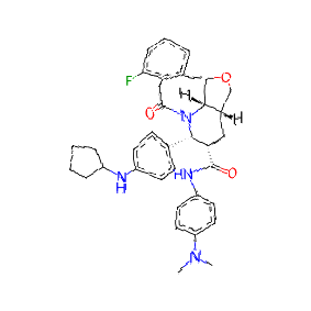 Cc1cccc(F)c1C(=O)N1[C@@H]2COC[C@@H]2C[C@H](C(=O)Nc2ccc(N(C)C)cc2)[C@@H]1c1ccc(NC2CCCC2)cc1